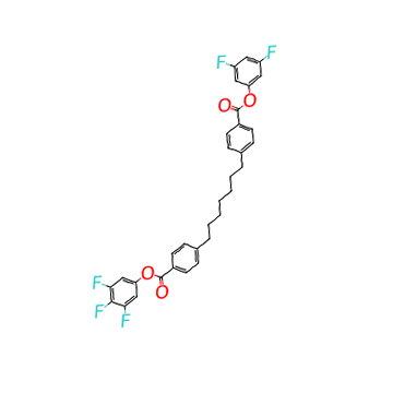 O=C(Oc1cc(F)cc(F)c1)c1ccc(CCCCCCCc2ccc(C(=O)Oc3cc(F)c(F)c(F)c3)cc2)cc1